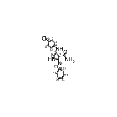 NC(=O)c1c(Nc2ccc(Cl)cc2)n[nH]c1/N=C/c1ccccc1